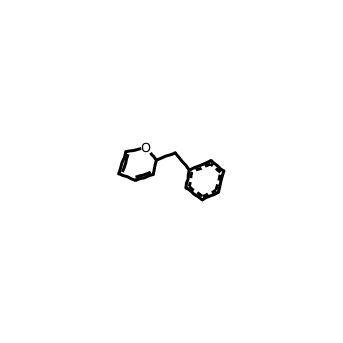 C1=COC(Cc2ccccc2)C=C1